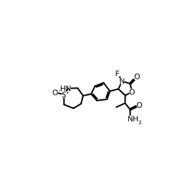 CC(C(N)=O)C1OC(=O)N(F)C1c1ccc(C2CCC[S+]([O-])NC2)cc1